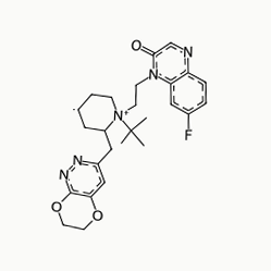 CC(C)(C)[N+]1(CCn2c(=O)cnc3ccc(F)cc32)CC[CH]CC1Cc1cc2c(nn1)OCCO2